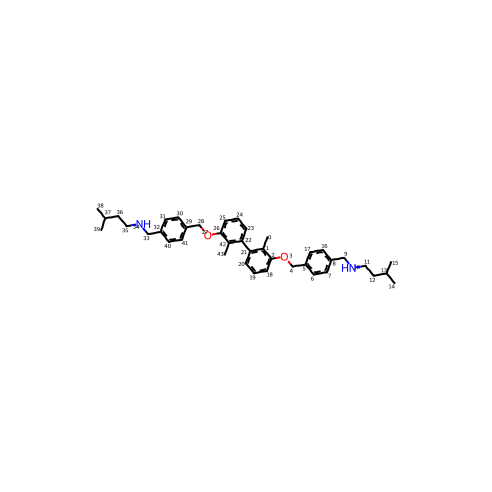 Cc1c(OCc2ccc(CNCCC(C)C)cc2)cccc1-c1cccc(OCc2ccc(CNCCC(C)C)cc2)c1C